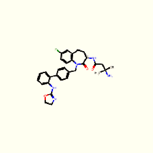 CC(C)(N)CC(=O)N[C@@H]1CCc2cc(F)ccc2N(Cc2ccc(-c3ccccc3NC3=NCCO3)cc2)C1=O